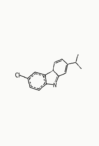 CC(C)C1=CC2=Nc3ccc(Cl)cc3C2C=C1